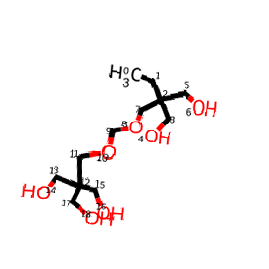 CCC(CO)(CO)COCOCC(CO)(CO)CO